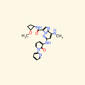 CNc1cc(Nc2cccn(-c3ccccn3)c2=O)nn2c(C(=O)NC3CC[C@@H]3OC)cnc12